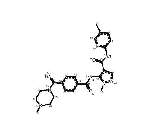 Cc1ccc(NC(=O)c2cnn(C)c2NC(=O)c2ccc(C(=N)N3CCN(C)CC3)cc2)nc1